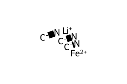 [C-]#N.[C-]#N.[C-]#N.[Fe+2].[Li+]